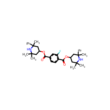 CC(C)C1(C)CC(OC(=O)c2ccc(C(=O)OC3CC(C)(C)NC(C)(C(C)C)C3)c(F)c2)CC(C)(C)N1